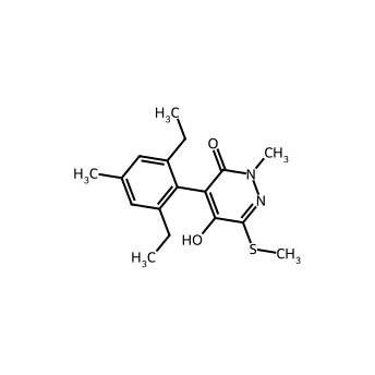 CCc1cc(C)cc(CC)c1-c1c(O)c(SC)nn(C)c1=O